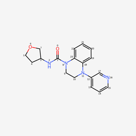 O=C(NC1CCOC1)N1CCN(c2cccnc2)c2ccccc21